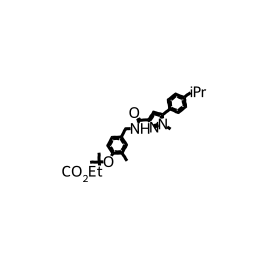 CCOC(=O)C(C)(C)Oc1ccc(CNC(=O)c2cc(-c3ccc(C(C)C)cc3)n(C)n2)cc1C